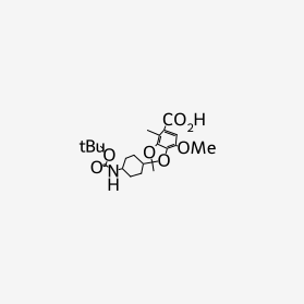 COc1cc(C(=O)O)c(C)c2c1OC(C)(C1CCC(NC(=O)OC(C)(C)C)CC1)O2